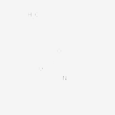 C=CCOC(=O)N1C[CH]CC1